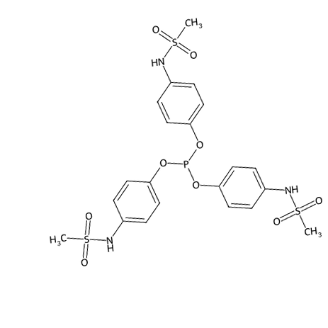 CS(=O)(=O)Nc1ccc(OP(Oc2ccc(NS(C)(=O)=O)cc2)Oc2ccc(NS(C)(=O)=O)cc2)cc1